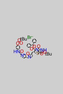 CC(C)(C)OC(=O)N[C@@H]1C(=O)N2C(C(=O)OC(c3ccccc3)c3ccccc3)=C(/C=C3\CCN(Cc4cc[n+](CC(=O)Nc5ccc(OC(=O)OC(C)(C)C)cc5)cc4)C3=O)CS[C@H]12.[Br-]